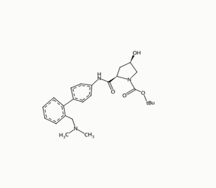 CN(C)Cc1ccccc1-c1ccc(NC(=O)[C@H]2C[C@@H](O)CN2C(=O)OC(C)(C)C)cc1